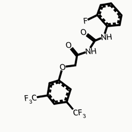 O=C(COc1cc(C(F)(F)F)cc(C(F)(F)F)c1)NC(=O)Nc1ccccc1F